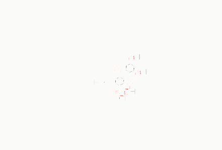 CCc1cc2c(c(OC)c1C(=O)OC)C(=O)c1c(OC)cc(OC)cc1C2=O